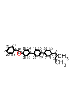 CCC(C)CC1CC=C(c2ccc(-c3ccc(OCc4ccccc4)cc3)cc2)CC1